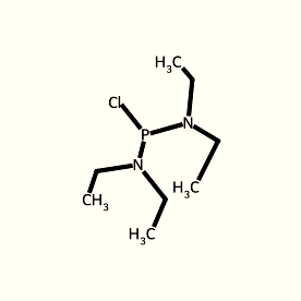 CCN(CC)P(Cl)N(CC)CC